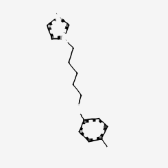 Oc1ccc(OCCCCCn2ccnc2)cc1